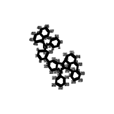 c1ccc(N(c2cccc(-c3ccc4c(c3)c3c(n4-c4ccccc4)-c4c5ccccc5cc5cccc-3c45)c2)c2cccc3ccccc23)cc1